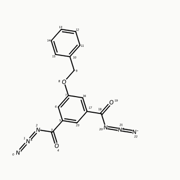 [N-]=[N+]=NC(=O)c1cc(OCc2ccccc2)cc(C(=O)N=[N+]=[N-])c1